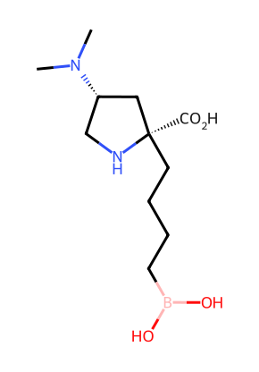 CN(C)[C@H]1CN[C@@](CCCCB(O)O)(C(=O)O)C1